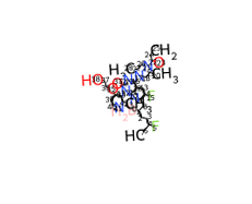 B/C(=C/C=C(/F)C#C)Cc1nc2c(cc1F)c(N1C[C@@H](C)N(C(=O)C=C)CC1C)nc(=O)n2-c1c(OCCO)ccnc1C